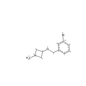 CN1CC(OCc2cccc(Br)c2)C1